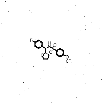 O=S(=O)(N[C@H](c1ccc(F)cc1)[C@H]1CCCO1)c1ccc(OC(F)(F)F)cc1